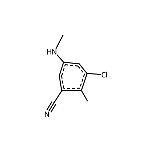 CNc1cc(Cl)c(C)c(C#N)c1